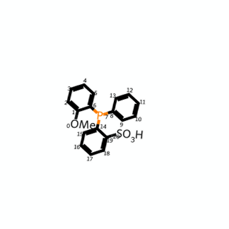 COc1ccccc1P(c1ccccc1)c1ccccc1S(=O)(=O)O